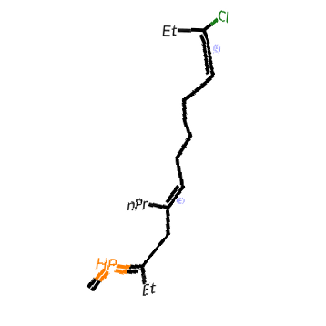 C=[PH]=C(CC)C/C(=C/CCC/C=C(/Cl)CC)CCC